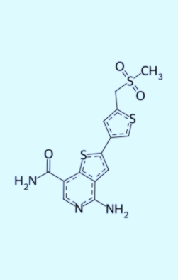 CS(=O)(=O)Cc1cc(-c2cc3c(N)ncc(C(N)=O)c3s2)cs1